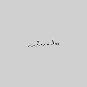 CCCCC[C@@H]([O])CC=CCCCCC(=O)O